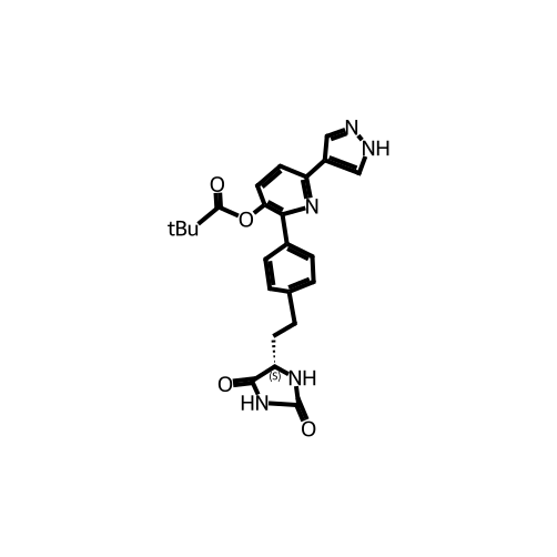 CC(C)(C)C(=O)Oc1ccc(-c2cn[nH]c2)nc1-c1ccc(CC[C@@H]2NC(=O)NC2=O)cc1